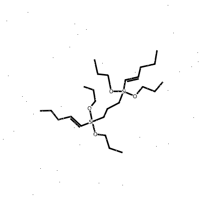 CCCC=C[Si](CCC[Si](C=CCCC)(OCCC)OCCC)(OCCC)OCCC